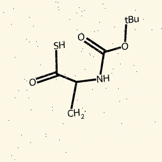 [CH2]C(NC(=O)OC(C)(C)C)C(=O)S